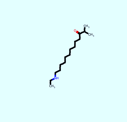 CCNCCCCCCCCCCC(=O)C(C)C